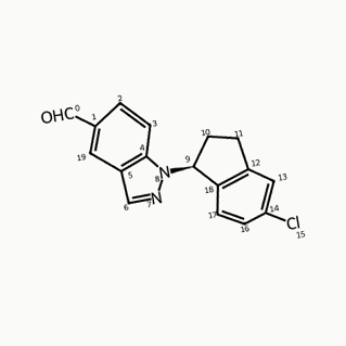 O=Cc1ccc2c(cnn2[C@H]2CCc3cc(Cl)ccc32)c1